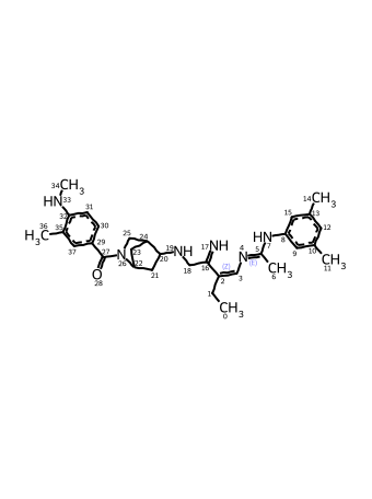 CC/C(=C/N=C(\C)Nc1cc(C)cc(C)c1)C(=N)CNC1CC2CC1CN2C(=O)c1ccc(NC)c(C)c1